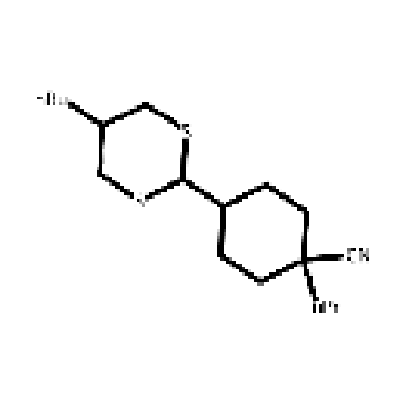 CCCCC1CSC(C2CCC(C#N)(CCC)CC2)SC1